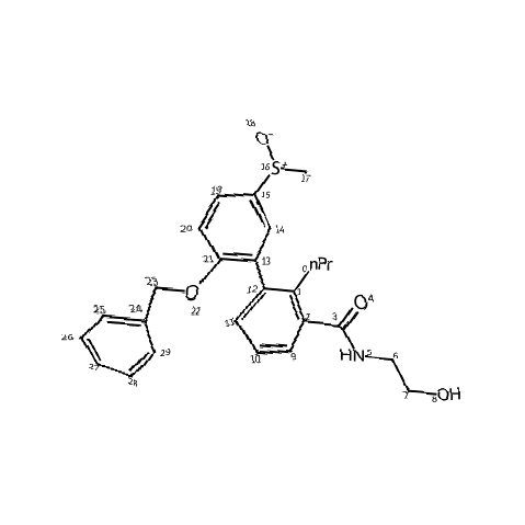 CCCc1c(C(=O)NCCO)cccc1-c1cc([S+](C)[O-])ccc1OCc1ccccc1